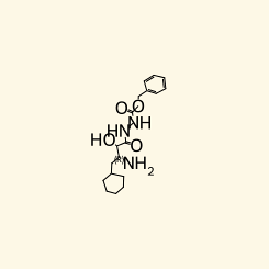 N[C@H](CC1CCCCC1)C(O)C(=O)NNC(=O)OCc1ccccc1